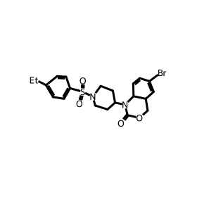 CCc1ccc(S(=O)(=O)N2CCC(N3C(=O)OCC4C=C(Br)C=CC43)CC2)cc1